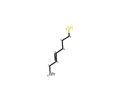 CCCCC=CCCCS